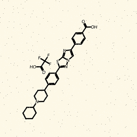 O=C(O)C(F)(F)F.O=C(O)c1ccc(-c2cn3nc(-c4ccc(C5CCN(C6CCCCC6)CC5)cc4)sc3n2)cc1